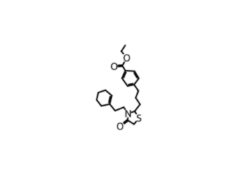 CCOC(=O)c1ccc(CCCC2SCC(=O)N2CCC2=CCCCC2)cc1